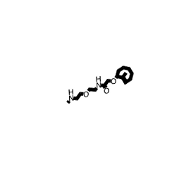 CNCCOCCNC(=O)COC1CCCCC/C=C/1C